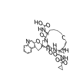 O=C(O)N[C@H]1CCCCCC=C[C@@H]2C[C@@]2(C(=O)NS(=O)(=O)C2CC2)NC(=O)[C@@H]2C[C@]3(CCc4c(cnc5ccccc45)O3)CN2C1=O